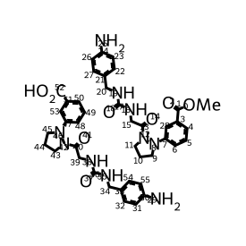 COC(=O)c1cccc(N2CCCN2C(=O)CNC(=O)NCc2ccc(N)cc2)c1.Nc1ccc(CNC(=O)NCC(=O)N2CCCN2c2cccc(C(=O)O)c2)cc1